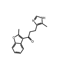 Cc1[nH]cnc1CCC(=O)c1c(C)oc2ccccc12